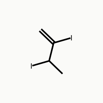 C=C(I)C(C)I